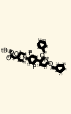 CC(C)(C)OC(=O)CC1(O)CCN(c2cc(F)c(-c3ccc(OCc4ccccc4)nc3OCc3ccccc3)cc2F)CC1